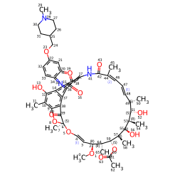 CO[C@H]1/C=C/O[C@@]2(C)Oc3c(C)c(O)c4c(=O)c(c5oc6cc(OCC7CCN(C)CC7)ccc6nc-5c4c3C2=O)NC(=O)/C(C)=C\C=C\[C@H](C)[C@H](O)[C@@H](C)[C@@H](O)[C@@H](C)[C@H](OC(C)=O)[C@@H]1C